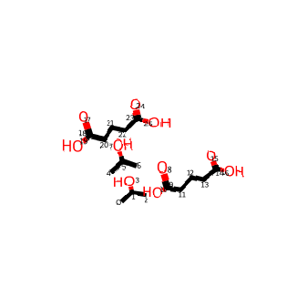 CC(C)O.CC(C)O.O=C(O)CCCC(=O)O.O=C(O)CCCC(=O)O